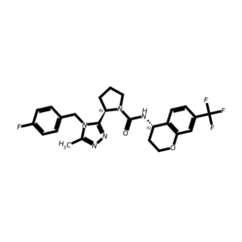 Cc1nnc([C@H]2CCCN2C(=O)N[C@H]2CCOc3cc(C(F)(F)F)ccc32)n1Cc1ccc(F)cc1